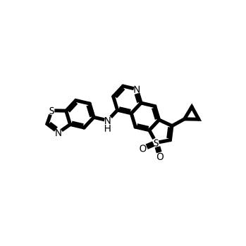 O=S1(=O)C=C(C2CC2)c2cc3nccc(Nc4ccc5scnc5c4)c3cc21